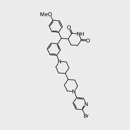 COc1ccc(C(c2cccc(N3CCC(C4CCN(c5ccc(Br)nc5)CC4)CC3)c2)C2CCC(=O)NC2=O)cc1